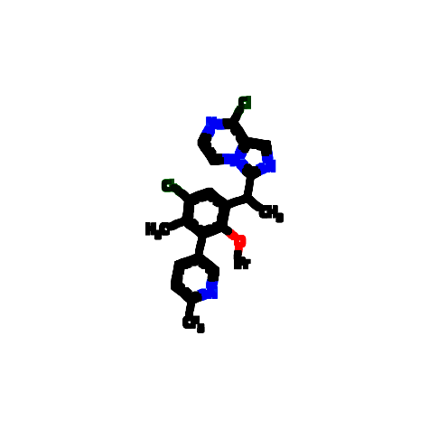 Cc1c(Cl)cc(C(C)c2ncc3c(Cl)nccn23)c(OC(C)C)c1-c1ccc(C(F)(F)F)nc1